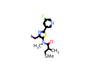 CSCC(C)C(=O)N(C)c1sc(-c2cncc(F)c2)nc1CI